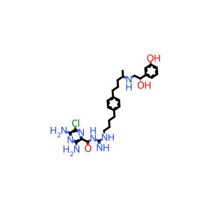 CC(CCCc1ccc(CCCCNC(=N)NC(=O)c2nc(Cl)c(N)nc2N)cc1)NC[C@@H](O)c1cccc(O)c1